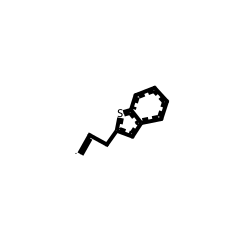 [CH]=CCc1cc2ccccc2s1